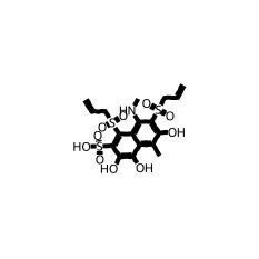 C=CCS(=O)(=O)c1c(O)c(C)c2c(O)c(O)c(S(=O)(=O)O)c(S(=O)(=O)CC=C)c2c1NC